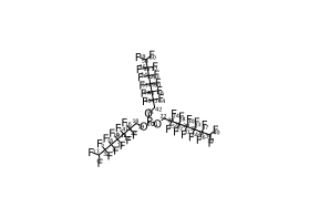 FC(F)C(F)(F)C(F)(F)C(F)(F)C(F)(F)C(F)(F)COP(OCC(F)(F)C(F)(F)C(F)(F)C(F)(F)C(F)(F)C(F)F)OCC(F)(F)C(F)(F)C(F)(F)C(F)(F)C(F)(F)C(F)F